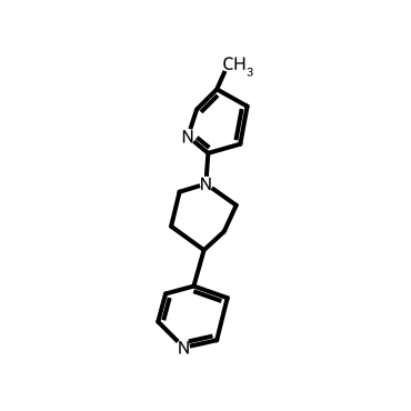 Cc1ccc(N2CCC(c3ccncc3)CC2)nc1